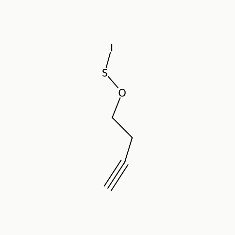 C#CCCOSI